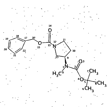 CN(C(=O)OC(C)(C)C)[C@@H]1CCN(C(=O)OCc2ccccc2)C1